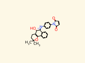 CC1(C)CCC2=C(O1)c1ccccc1/C(=N\c1ccc(N3C(=O)C=CC3=O)cc1)C2O